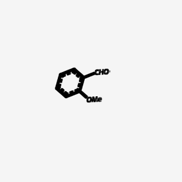 COc1ccccc1[C]=O